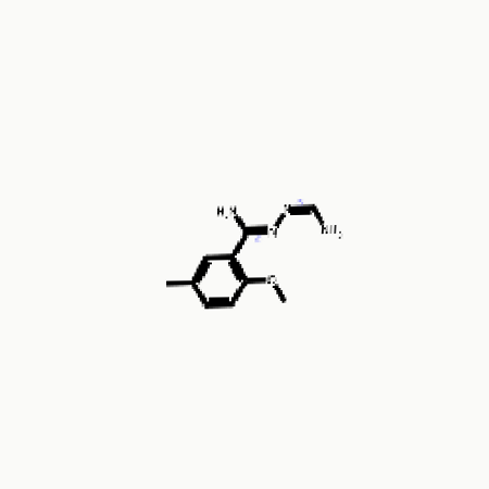 COc1ccc(C)cc1/C(N)=N/N=C\N